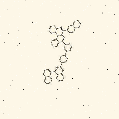 c1cc(-c2ccc(-c3nc(-c4cccc5ccccc45)c4ccccc4n3)cc2)cc(-c2cc3c(-c4ccc5ccccc5c4)nc4ccccc4c3c3ccccc23)c1